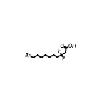 O=C(O)CC(F)(F)CCCCCCCBr